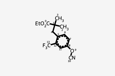 CCOC(=O)C(C)(C)Cc1ccc(OC#N)cc1C(F)(F)F